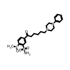 C[S+]([O-])c1ccc(C(=O)CCCCCN2CCN(c3ccccc3)CC2)cc1S(N)(=O)=O